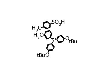 Cc1ccc(S(=O)(=O)O)cc1.Cc1cccc([S+](c2ccc(OC(C)(C)C)cc2)c2ccc(OC(C)(C)C)cc2)c1